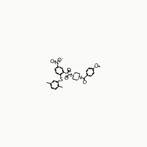 COc1ccc(C(=O)N2CCN(S(=O)(=O)c3cc([N+](=O)[O-])ccc3Sc3cc(C)ccc3C)CC2)cc1